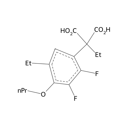 CCCOc1c(CC)cc(C(CC)(C(=O)O)C(=O)O)c(F)c1F